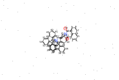 O=C1c2cccc3cccc(c23)C(=O)N1CCCN([Si](c1ccccc1)(c1ccccc1)c1ccccc1)[Si](c1ccccc1)(c1ccccc1)c1ccccc1